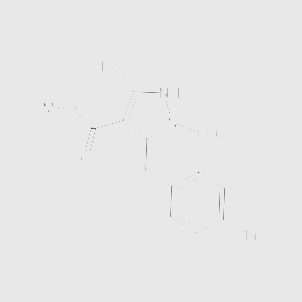 CCCCN1NC(C)=C(C(=O)OC)C1Cc1ccc(Br)cc1